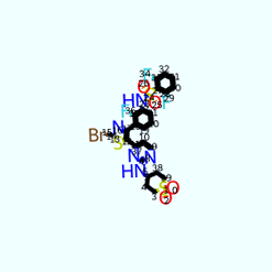 O=S1(=O)CCC(Nc2nccc(-c3sc(Br)nc3-c3cccc(NS(=O)(=O)c4c(F)cccc4F)c3F)n2)CC1